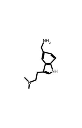 CN(C)CCc1c[nH]c2ccc(CN)cc12